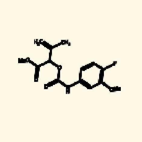 C=C(C)C(OC(=O)Nc1ccc(F)c(OC)c1)C(=O)OC